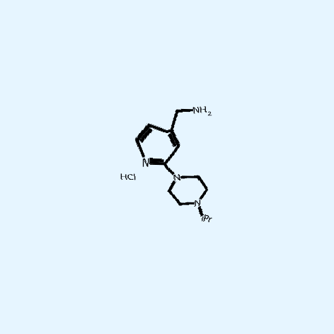 CC(C)N1CCN(c2cc(CN)ccn2)CC1.Cl